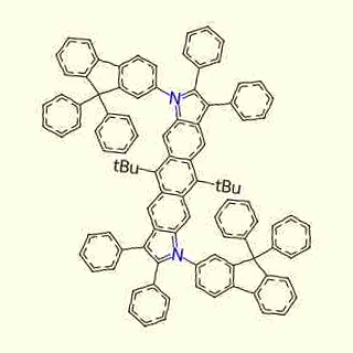 CC(C)(C)c1c2cc3c(-c4ccccc4)c(-c4ccccc4)n(-c4ccc5c(c4)C(c4ccccc4)(c4ccccc4)c4ccccc4-5)c3cc2c(C(C)(C)C)c2cc3c(-c4ccccc4)c(-c4ccccc4)n(-c4ccc5c(c4)C(c4ccccc4)(c4ccccc4)c4ccccc4-5)c3cc12